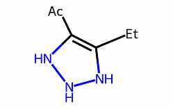 CCC1=C(C(C)=O)NNN1